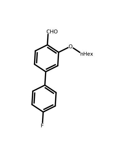 CCCCCCOc1cc(-c2ccc(F)cc2)ccc1C=O